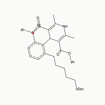 CCCCCCCCCCCCCCCc1cccc(OCC)c1C1C(C(=O)OC(C)C)=C(C)NC(C)=C1C(=O)OC(C)C